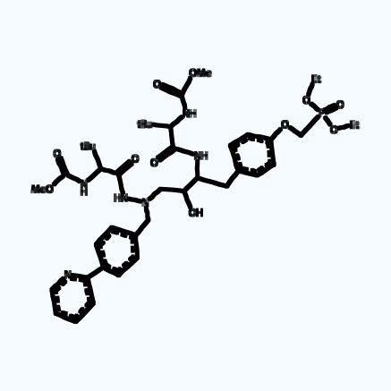 CCOP(=O)(COc1ccc(CC(NC(=O)C(NC(=O)OC)C(C)(C)C)C(O)CN(Cc2ccc(-c3ccccn3)cc2)NC(=O)C(NC(=O)OC)C(C)(C)C)cc1)OCC